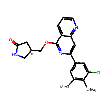 COc1cc(-c2cc3ncccc3c(OC[C@H]3CNC(=O)C3)n2)cc(Cl)c1OC